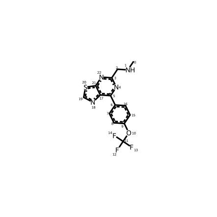 CNCc1nc(-c2ccc(OC(F)(F)F)cc2)c2ncsc2n1